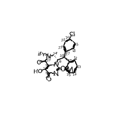 COc1nc(=O)c(O)c2n1[C@@H]([C@H](c1ccccc1)c1ccc(Cl)cc1)CN(C(C)C)C2=O